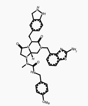 COc1ccc(CNC(=O)N(C)N2CC(=O)N3[C@@H](Cc4ccc5c(c4)CNN5)C(=O)N(Cc4cccc5sc(N)nc45)C[C@@H]32)cc1